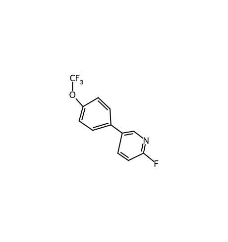 Fc1ccc(-c2ccc(OC(F)(F)F)cc2)cn1